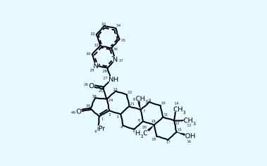 CC(C)C1=C2C3CCC4[C@@](C)(CCC5C(C)(C)[C@@H](O)CC[C@@]54C)C3CCC2(C(=O)Nc2ncc3ccccc3n2)CC1=O